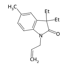 C=CCN1C(=O)C(CC)(CC)c2cc(C)ccc21